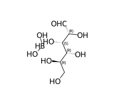 O=C[C@H](O)[C@@H](O)[C@H](O)[C@H](O)CO.OBO